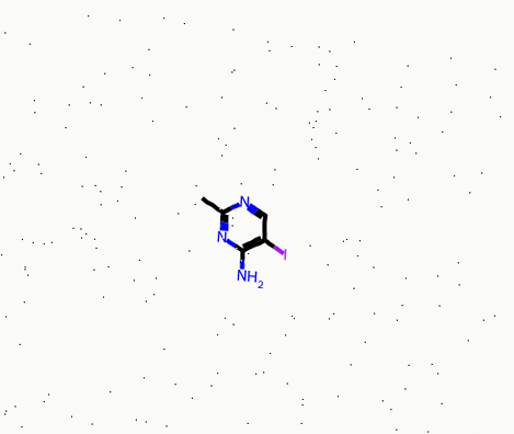 Cc1ncc(I)c(N)n1